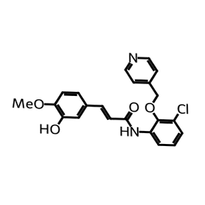 COc1ccc(C=CC(=O)Nc2cccc(Cl)c2OCc2ccncc2)cc1O